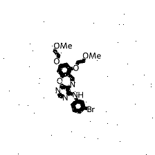 COCCOc1cc(OCCOC)c2c(c1)Oc1ncnc(Nc3cccc(Br)c3)c1N=C2